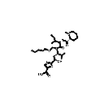 CCCCCOCN(C(=O)[C@@H](NC(=O)[C@H]1CCCCN1C)C(C)CC)[C@H](C[C@@H](O)c1nc(C(=O)O)cs1)C(C)C